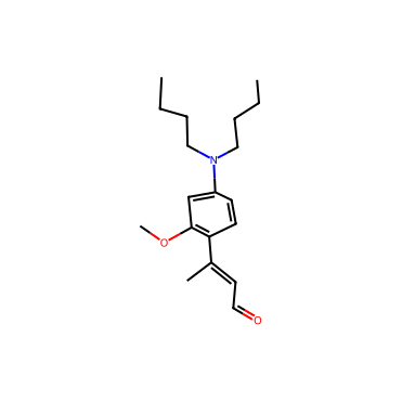 CCCCN(CCCC)c1ccc(C(C)=CC=O)c(OC)c1